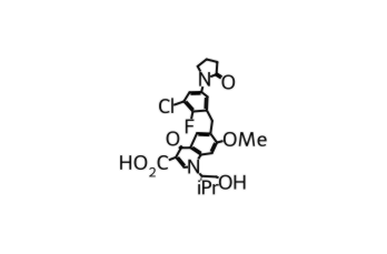 COc1cc2c(cc1Cc1cc(N3CCCC3=O)cc(Cl)c1F)c(=O)c(C(=O)O)cn2[C@H](CO)C(C)C